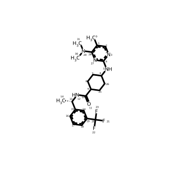 Cc1cnc(NC2CCC(C(=O)N[C@@H](C)c3cccc(C(F)(F)F)c3)CC2)nc1N(C)C